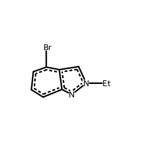 CCn1cc2c(Br)cccc2n1